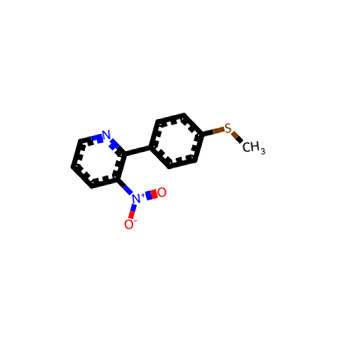 CSc1ccc(-c2ncccc2[N+](=O)[O-])cc1